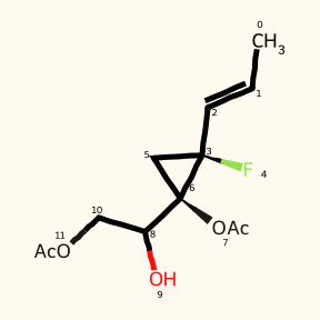 C/C=C/[C@@]1(F)C[C@@]1(OC(C)=O)C(O)COC(C)=O